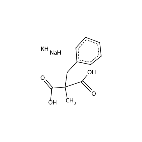 CC(Cc1ccccc1)(C(=O)O)C(=O)O.[KH].[NaH]